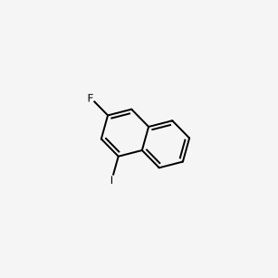 Fc1cc(I)c2ccccc2c1